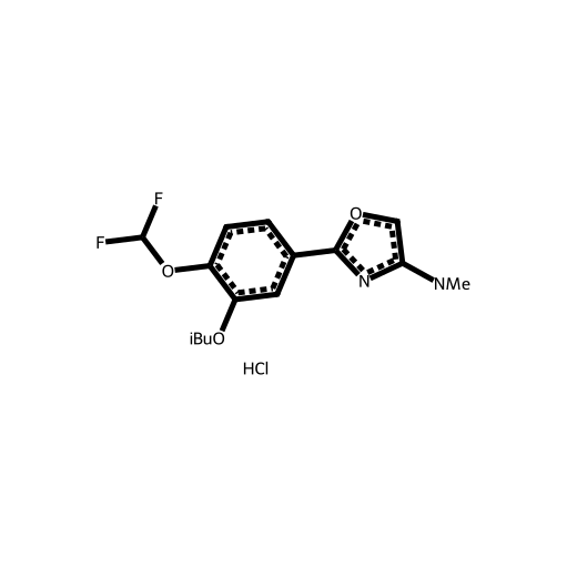 CNc1coc(-c2ccc(OC(F)F)c(OCC(C)C)c2)n1.Cl